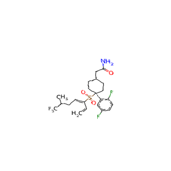 C=C/C(=C\CC(C)C(F)(F)F)S(=O)(=O)C1(c2cc(F)ccc2F)CCC(CC(N)=O)CC1